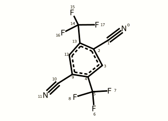 N#Cc1cc(C(F)(F)F)c(C#N)cc1C(F)(F)F